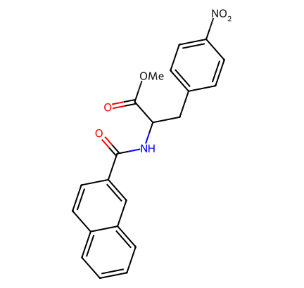 COC(=O)C(Cc1ccc([N+](=O)[O-])cc1)NC(=O)c1ccc2ccccc2c1